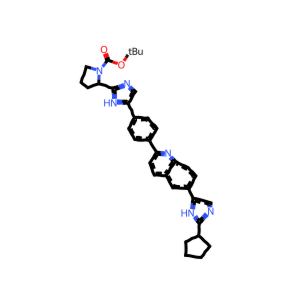 CC(C)(C)OC(=O)N1CCCC1c1ncc(-c2ccc(-c3ccc4cc(-c5cnc(C6CCCC6)[nH]5)ccc4n3)cc2)[nH]1